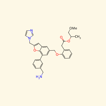 COCC(C)OC(=O)Cc1ccccc1OCc1cc(-c2cccc(CN)c2)c2oc(Cn3ccnc3)cc2c1